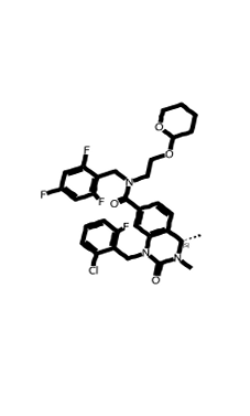 C[C@H]1c2ccc(C(=O)N(CCOC3CCCCO3)Cc3c(F)cc(F)cc3F)cc2N(Cc2c(F)cccc2Cl)C(=O)N1C